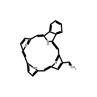 C=CC1=Cc2cc3ccc(cc4nc(cc5[nH]c(cc1n2)c1ccccc51)C=C4)[nH]3